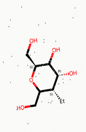 CC[C@@H]1C(CO)O[C@@H](CO)C(O)[C@@H]1O